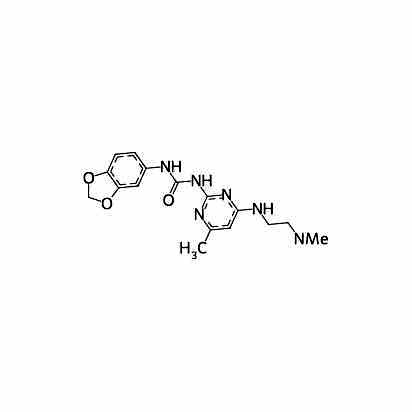 CNCCNc1cc(C)nc(NC(=O)Nc2ccc3c(c2)OCO3)n1